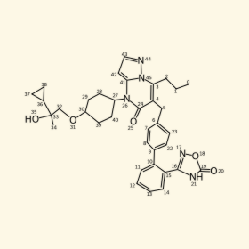 CCCc1c(Cc2ccc(-c3ccccc3-c3noc(=O)[nH]3)cc2)c(=O)n(C2CCC(OCC(C)(O)C3CC3)CC2)c2ccnn12